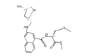 COC(=O)[C@H](CCSC)NC(=O)c1cc(NC[C@@H]2C[C@H](S)CN2)cc2ccccc12